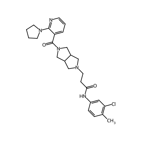 Cc1ccc(NC(=O)CCN2CC3CN(C(=O)c4cccnc4N4CCCC4)CC3C2)cc1Cl